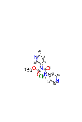 Cc1ccc(N(C(=O)OC(C)(C)C)C(=O)N(Cl)c2ccncc2)cn1